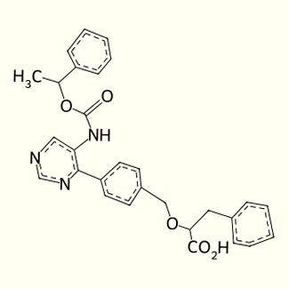 CC(OC(=O)Nc1cncnc1-c1ccc(COC(Cc2ccccc2)C(=O)O)cc1)c1ccccc1